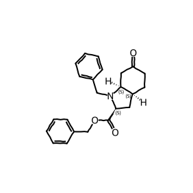 O=C1CC[C@H]2C[C@@H](C(=O)OCc3ccccc3)N(Cc3ccccc3)[C@H]2C1